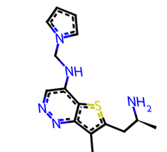 Cc1c(C[C@H](C)N)sc2c(NCn3cccc3)cnnc12